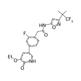 CCOc1cc(-c2ccc(CC(=O)Nc3cc(C(C)(C)C(F)(F)F)no3)c(F)c2)c[nH]c1=O